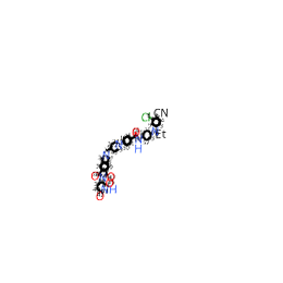 CCN(c1ccc(C#N)c(Cl)c1)[C@H]1CC[C@H](NC(=O)c2ccc(N3CCC(CN4Cc5cc6c(cc5C4)C(=O)N([C@@H]4CCC(=O)NC4=O)C6=O)CC3)cc2)CC1